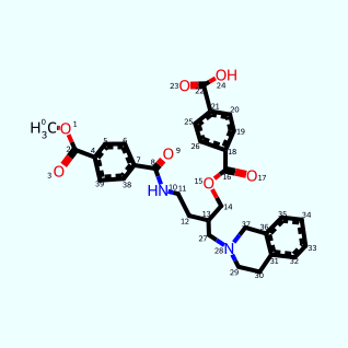 COC(=O)c1ccc(C(=O)NCCC(COC(=O)c2ccc(C(=O)O)cc2)CN2CCc3ccccc3C2)cc1